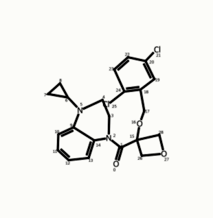 O=C(N1CCN(C2CC2)c2ccccc21)C1(OCc2cc(Cl)ccc2Cl)COC1